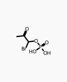 CC(=O)C(Br)OP(=O)(O)O